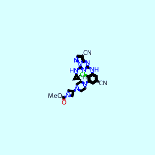 COC(=O)N1CC(N2CCN(c3cc(C#N)cc(Nc4nc(NC5CC5)n5ncc(C#N)c5n4)c3Cl)[C@@H](C)C2)C1